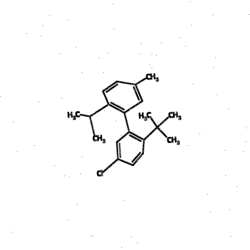 Cc1ccc(C(C)C)c(-c2cc(Cl)ccc2C(C)(C)C)c1